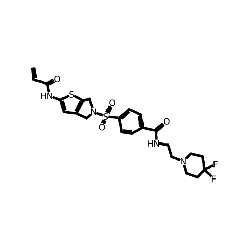 C=CC(=O)Nc1cc2c(s1)CN(S(=O)(=O)c1ccc(C(=O)NCCN3CCC(F)(F)CC3)cc1)C2